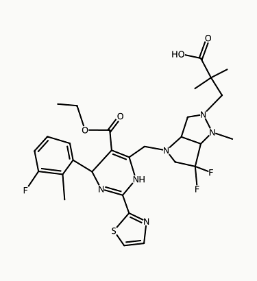 CCOC(=O)C1=C(CN2CC(F)(F)C3C2CN(CC(C)(C)C(=O)O)N3C)NC(c2nccs2)=NC1c1cccc(F)c1C